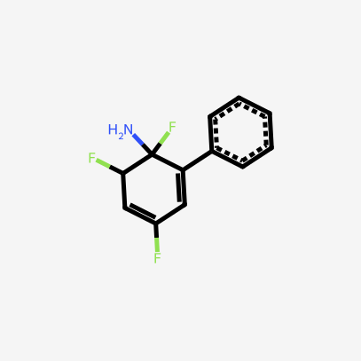 NC1(F)C(c2ccccc2)=CC(F)=CC1F